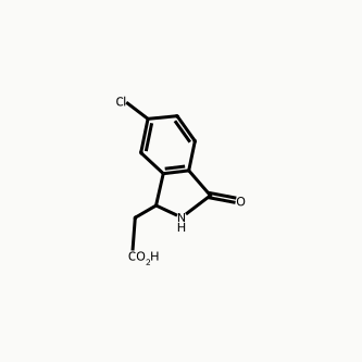 O=C(O)CC1NC(=O)c2ccc(Cl)cc21